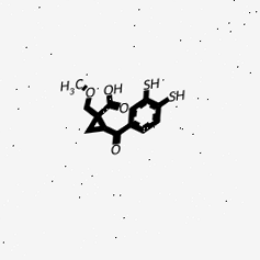 COCC1(C(=O)O)CC1C(=O)c1ccc(S)c(S)c1